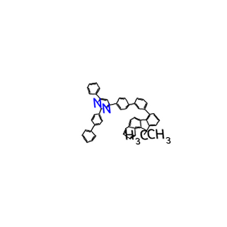 CC1(C)c2cccc(-c3cccc(-c4ccc(-c5cc(-c6ccccc6)nc(-c6ccc(-c7ccccc7)cc6)n5)cc4)c3)c2-c2ccc3ccccc3c21